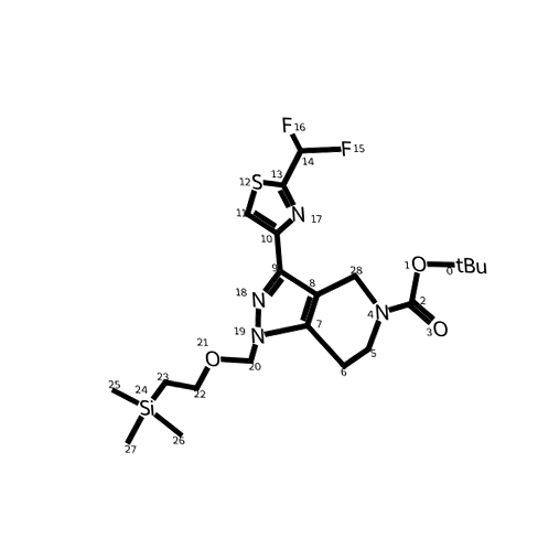 CC(C)(C)OC(=O)N1CCc2c(c(-c3csc(C(F)F)n3)nn2COCC[Si](C)(C)C)C1